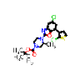 CC1CN(C(=O)OC(C)(C)C)CCN1c1nc2cc(Cl)cc(-c3ccsc3Cl)c2o1